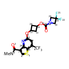 CNC(=O)c1csc2c(C(F)(F)F)cc(OC3CC(OC(=O)N4CC(F)(F)C4)C3)nc12